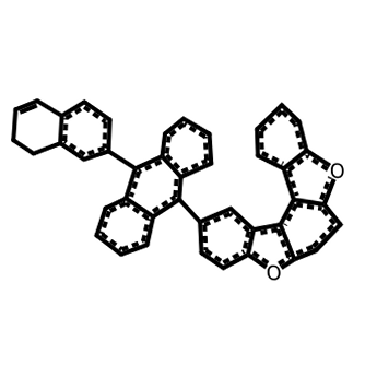 C1=Cc2ccc(-c3c4ccccc4c(-c4ccc5oc6ccc7oc8ccccc8c7c6c5c4)c4ccccc34)cc2CC1